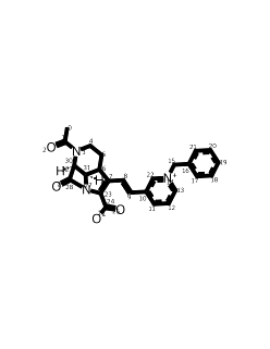 CC(=O)N1CCC2C(/C=C/c3ccc[n+](Cc4ccccc4)c3)=C(C(=O)[O-])N3C(=O)[C@@H]1[C@@H]23